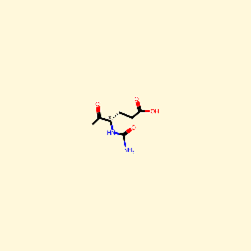 CC(=O)[C@H](CCC(=O)O)NC(N)=O